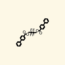 O=C(OCC(F)(F)C(F)(F)COC(=O)c1ccc(-c2ccccc2)cc1)c1ccc(-c2ccccc2)cc1